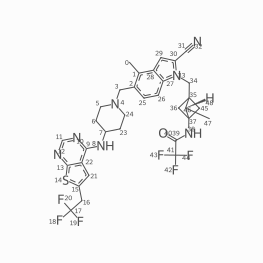 Cc1c(CN2CCC(Nc3ncnc4sc(CC(F)(F)F)cc34)CC2)ccc2c1cc(C#N)n2CC12CC(NC(=O)C(F)(F)F)(C1)[C@H]2C